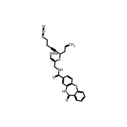 C=CCC(C#CCCN=[N+]=[N-])S/C(=C\NC)CNC(=O)c1ccc2c(c1)NC(=O)c1ccccc1S2